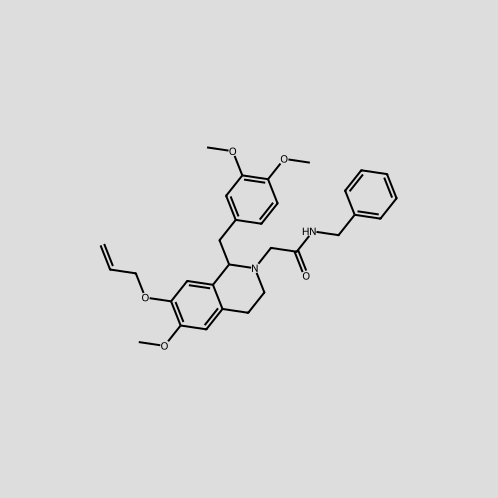 C=CCOc1cc2c(cc1OC)CCN(CC(=O)NCc1ccccc1)C2Cc1ccc(OC)c(OC)c1